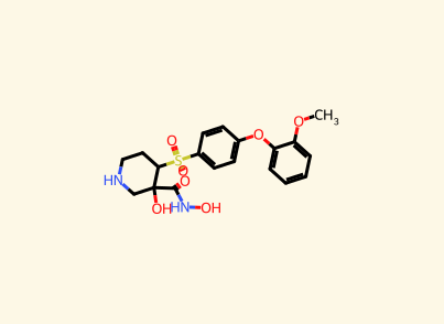 COc1ccccc1Oc1ccc(S(=O)(=O)C2CCNCC2(O)C(=O)NO)cc1